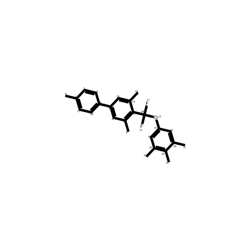 Cc1ccc(-c2cc(C)c(C(F)(F)Oc3cc(C)c(C)c(C)c3)c(C)c2)cc1